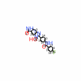 NC(=O)c1ccc2nc(-c3ccc(NC(=O)c4ccc(F)cc4)cc3)n(O)c2c1